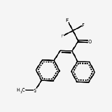 CSc1ccc(/C=C(/C(=O)C(F)(F)F)c2ccccc2)cc1